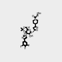 CC(C)(C)OC(=O)N1CCC(C2=NO[C@@H](C[C@H]3O[C@@H]4COC(C)(C)O[C@@H]4[C@H](n4cc(-c5cc(F)c(F)c(F)c5)nn4)[C@H]3O)C2)CC1